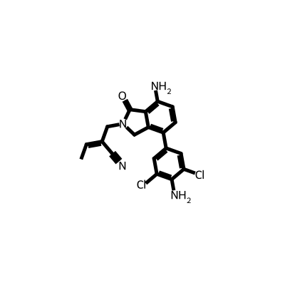 C/C=C(\C#N)CN1Cc2c(-c3cc(Cl)c(N)c(Cl)c3)ccc(N)c2C1=O